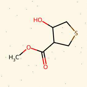 COC(=O)C1CSCC1O